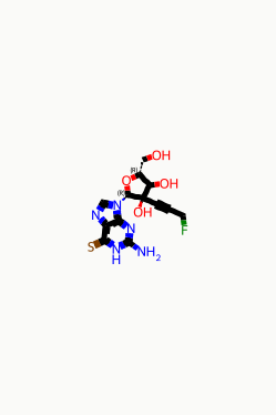 Nc1nc2c(ncn2[C@@H]2O[C@H](CO)C(O)[C@]2(O)C#CCF)c(=S)[nH]1